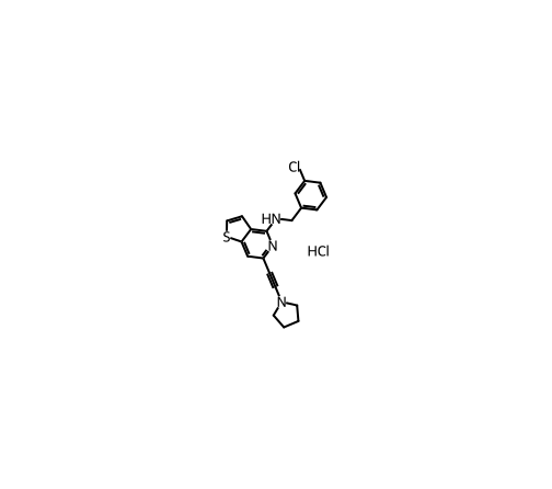 Cl.Clc1cccc(CNc2nc(C#CN3CCCC3)cc3sccc23)c1